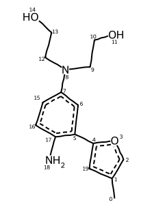 Cc1coc(-c2cc(N(CCO)CCO)ccc2N)c1